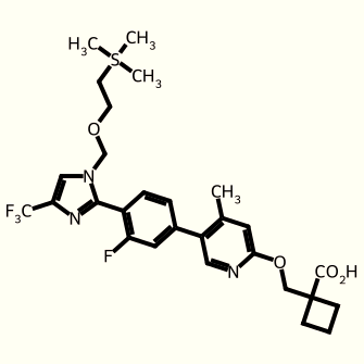 Cc1cc(OCC2(C(=O)O)CCC2)ncc1-c1ccc(-c2nc(C(F)(F)F)cn2COCCS(C)(C)C)c(F)c1